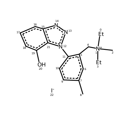 CC[N+](C)(CC)Cc1cc(C)ccc1-n1nnc2cccc(O)c21.[I-]